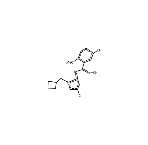 COc1ccc(Cl)cc1C(/N=c1\sc(Cl)cn1CC1CCC1)=N\C#N